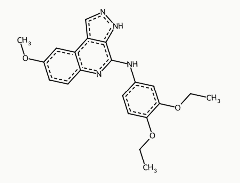 CCOc1ccc(Nc2nc3ccc(OC)cc3c3cn[nH]c23)cc1OCC